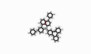 c1ccc(-c2ccc(N(c3ccc4c5ccccc5c5ccccc5c4c3)c3ccc(-c4ccccc4)cc3-c3ccccc3)cc2)cc1